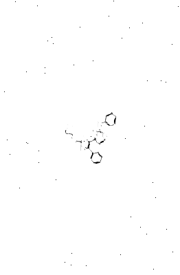 CC(C)CCNc1nc(-c2ccccc2)c(-c2ccnc(Nc3ccccc3)n2)s1